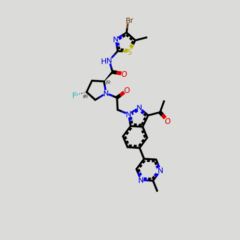 CC(=O)c1nn(CC(=O)N2C[C@H](F)C[C@H]2C(=O)Nc2nc(Br)c(C)s2)c2ccc(-c3cnc(C)nc3)cc12